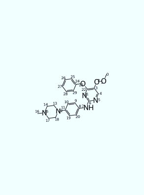 COOc1cnc(Nc2ccc(N3CCN(C)CC3)cc2)nc1Oc1ccccc1